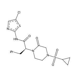 CC(C)C[C@@H](C(=O)Nc1ncc(Cl)s1)N1CCN(S(=O)(=O)C2CC2)CC1=O